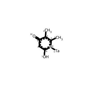 Cc1c(C)[n]([Ta])c(O)cc1=O